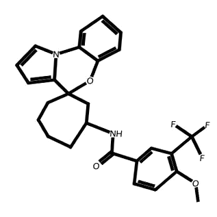 COc1ccc(C(=O)NC2CCCCC3(C2)Oc2ccccc2-n2cccc23)cc1C(F)(F)F